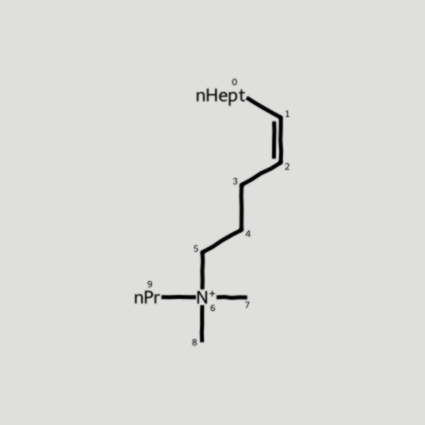 CCCCCCC/C=C\CCC[N+](C)(C)CCC